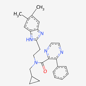 Cc1cc2nc(CCN(CC3CC3)C(=O)c3nccnc3-c3ccccc3)[nH]c2cc1C